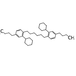 CCCCc1ccc(CCCCCCc2ccc(CCCC)cc2C2CCCCC2)c(C2CCCCC2)c1